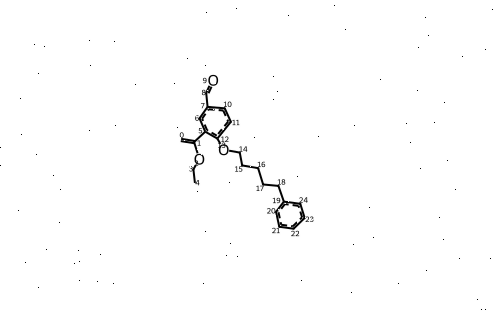 C=C(OCC)c1cc(C=O)ccc1OCCCCCc1ccccc1